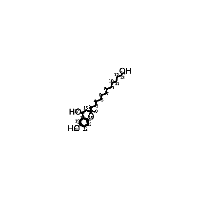 C[C@]1(CCCCCCCCCCCCO)CC(O)c2cc(O)ccc2O1